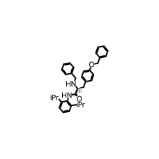 CC(C)c1cccc(C(C)C)c1NC(=O)[C@H](Cc1ccc(OCc2ccccc2)cc1)NCc1ccccc1